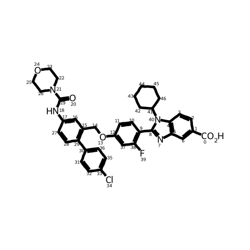 O=C(O)c1ccc2c(c1)nc(-c1ccc(OCc3cc(NC(=O)N4CCOCC4)ccc3-c3ccc(Cl)cc3)cc1F)n2C1CCCCC1